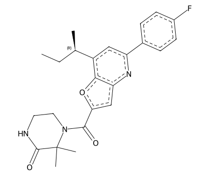 CC[C@@H](C)c1cc(-c2ccc(F)cc2)nc2cc(C(=O)N3CCNC(=O)C3(C)C)oc12